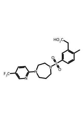 Cc1ccc(S(=O)(=O)N2CCCN(c3ccc(C(F)(F)F)cn3)CC2)cc1CC(=O)O